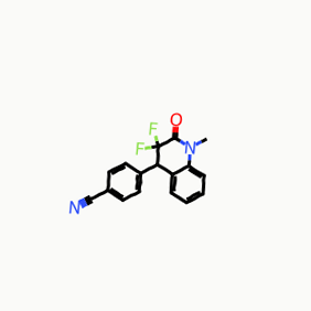 CN1C(=O)C(F)(F)C(c2ccc(C#N)cc2)c2ccccc21